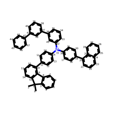 CC1(C)c2ccccc2-c2c(-c3ccc(N(c4ccc(-c5cccc6ccccc56)cc4)c4cccc(-c5cccc(-c6ccccc6)c5)c4)cc3)cccc21